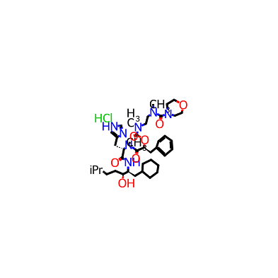 CC(C)CC[C@H](O)[C@H](CC1CCCCC1)NC(=O)[C@H](Cc1c[nH]cn1)N(C)C(=O)[C@H](Cc1ccccc1)OC(=O)N(C)CCN(C)C(=O)N1CCOCC1.Cl